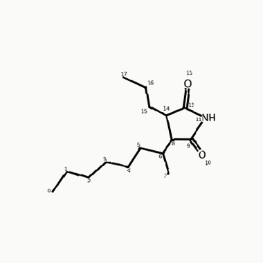 CCCCCCC(C)C1C(=O)NC(=O)C1CCC